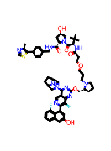 Cc1ncsc1-c1ccc(CNC(=O)[C@@H]2C[C@@H](O)CN2C(=O)[C@@H](NC(=O)CCOCCCN2CCC[C@H]2COc2nc(N3CC4CCC(C3)N4)c3cnc(-c4cc(O)cc5cccc(F)c45)c(F)c3n2)C(C)(C)C)cc1